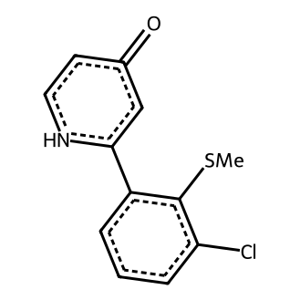 CSc1c(Cl)cccc1-c1cc(=O)cc[nH]1